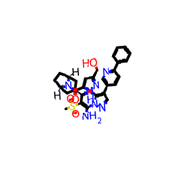 CS(=O)(=O)c1c([C@H]2C[C@H]3CC[C@@H](C2)N3C(=O)c2cc(CO)n[nH]2)nc2c(-c3ccc(-c4ccccc4)nc3)cnn2c1N